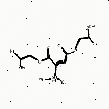 CCCCC(CC)COC(=O)/C=[C](\C(=O)OCC(CC)CCCC)[SnH]([CH2]CCC)[CH2]CCC